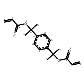 C=CC(=O)OC(C)(C)c1ccc(C(C)(C)OC(=O)C=C)cc1